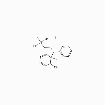 CC(C)[N+](C)(CC[C@H](c1ccccc1)C1(C)C=CC=CC1O)C(C)C.[I-]